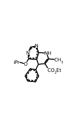 CCOC(=O)C1=C(C)Nc2ncnc(OC(C)C)c2C1c1ccccc1